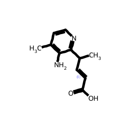 Cc1ccnc(C(C)/C=C/C(=O)O)c1N